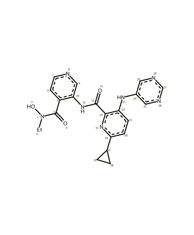 CCN(O)C(=O)c1ccncc1NC(=O)c1nc(C2CC2)ccc1Nc1cncnc1